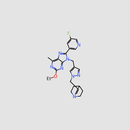 CCOc1nc(C)c2nc(-c3cncc(F)c3)n(Cc3cnn(CC4=CN5CCC4CC5)c3)c2n1